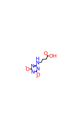 COc1nc(NCCCC(=O)O)nc(OC)n1